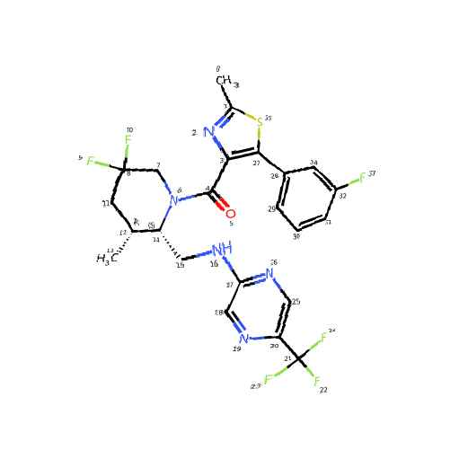 Cc1nc(C(=O)N2CC(F)(F)C[C@@H](C)[C@H]2CNc2cnc(C(F)(F)F)cn2)c(-c2cccc(F)c2)s1